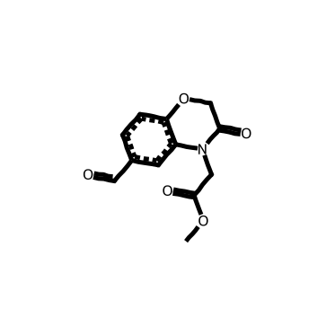 COC(=O)CN1C(=O)COc2ccc(C=O)cc21